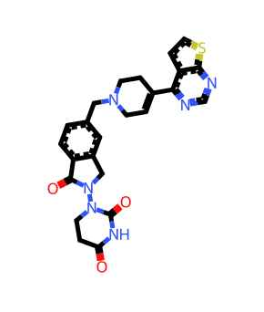 O=C1CCN(N2Cc3cc(CN4CC=C(c5ncnc6sccc56)CC4)ccc3C2=O)C(=O)N1